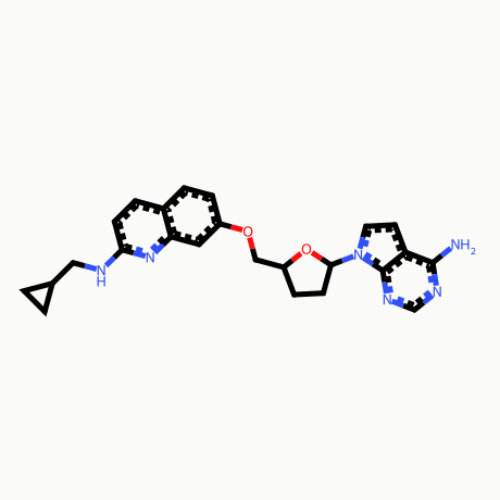 Nc1ncnc2c1ccn2C1CCC(COc2ccc3ccc(NCC4CC4)nc3c2)O1